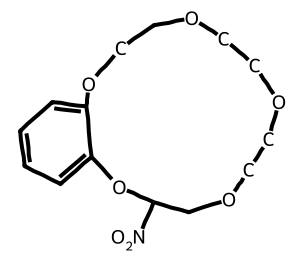 O=[N+]([O-])C1COCCOCCOCCOc2ccccc2O1